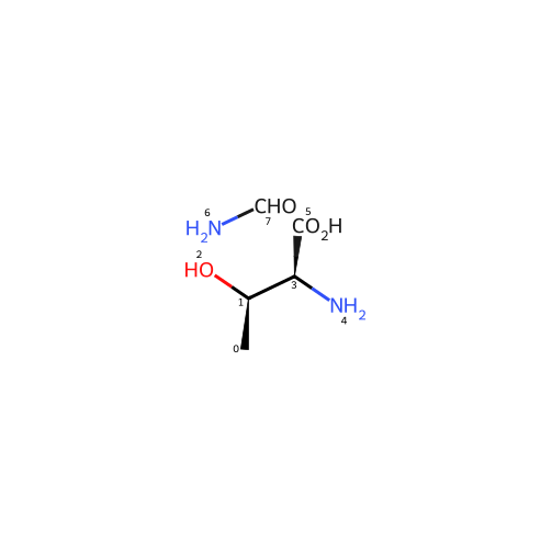 C[C@@H](O)[C@H](N)C(=O)O.NC=O